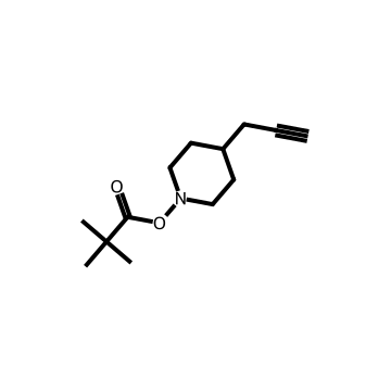 C#CCC1CCN(OC(=O)C(C)(C)C)CC1